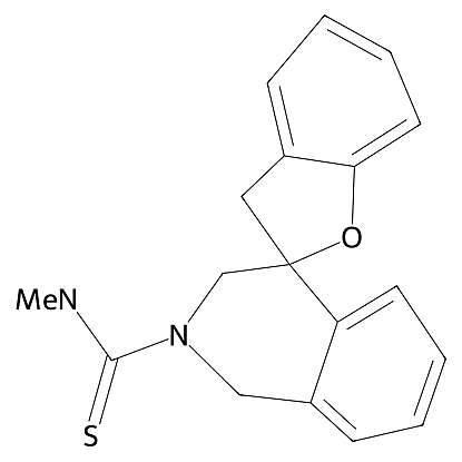 CNC(=S)N1Cc2ccccc2C2(Cc3ccccc3O2)C1